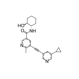 Cc1ncc(C(=O)N[C@H]2CCCC[C@@H]2O)cc1C#Cc1cncc(C2CC2)c1